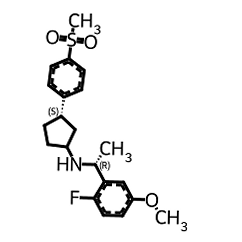 COc1ccc(F)c([C@@H](C)NC2CC[C@H](c3ccc(S(C)(=O)=O)cc3)C2)c1